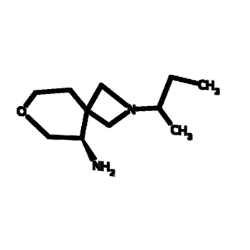 CCC(C)N1CC2(CCOC[C@@H]2N)C1